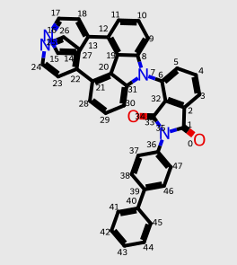 O=C1c2cccc(-n3c4cccc(-c5ccncc5)c4c4c(-c5ccncc5)cccc43)c2C(=O)N1c1ccc(-c2ccccc2)cc1